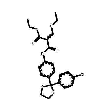 CCO/C=C(/C(=O)Nc1ccc(C2(c3ccc(Cl)cc3)OCCO2)cc1)C(=O)OCC